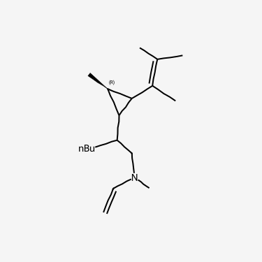 C=CN(C)CC(CCCC)C1C(C(C)=C(C)C)[C@@H]1C